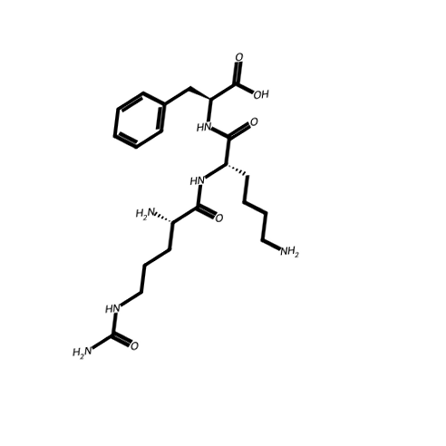 NCCCC[C@H](NC(=O)[C@@H](N)CCCNC(N)=O)C(=O)N[C@@H](Cc1ccccc1)C(=O)O